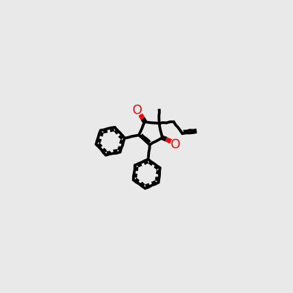 C=CCC1(C)C(=O)C(c2ccccc2)=C(c2ccccc2)C1=O